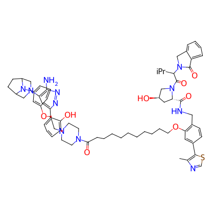 Cc1ncsc1-c1ccc(CNC(=O)[C@@H]2C[C@@H](O)CN2C(=O)C(C(C)C)N2Cc3ccccc3C2=O)c(OCCCCCCCCCCC(=O)N2CCN(CCOc3cccc(N4C5CCC4CN(c4cc(-c6ccccc6O)nnc4N)C5)c3)CC2)c1